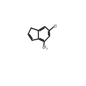 FC(F)(F)c1cc(Cl)cc2c1C=CC2